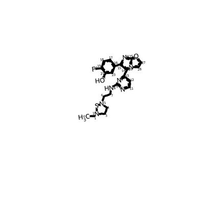 CCN1CCN(CCNc2nccc(-c3c(-c4ccc(F)c(O)c4)nc4occn34)n2)S1